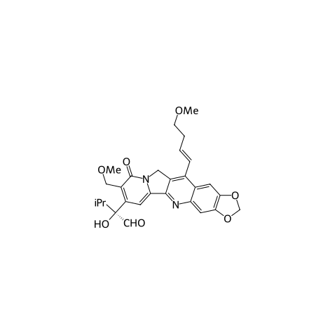 COCC/C=C/c1c2c(nc3cc4c(cc13)OCO4)-c1cc([C@](O)(C=O)C(C)C)c(COC)c(=O)n1C2